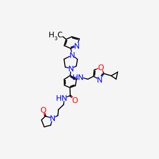 Cc1ccnc(N2CCN(c3ccc(C(=O)NCCCN4CCCC4=O)cc3NCc3coc(C4CC4)n3)CC2)c1